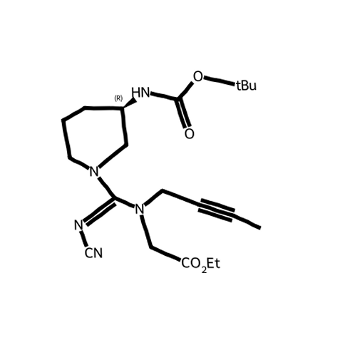 CC#CCN(CC(=O)OCC)C(=NC#N)N1CCC[C@@H](NC(=O)OC(C)(C)C)C1